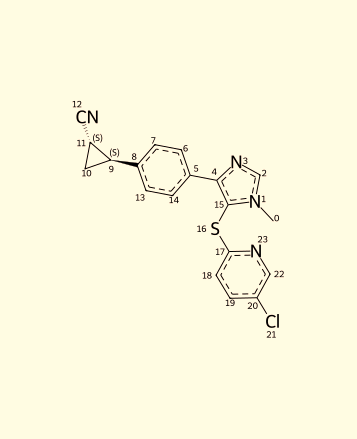 Cn1cnc(-c2ccc([C@H]3C[C@@H]3C#N)cc2)c1Sc1ccc(Cl)cn1